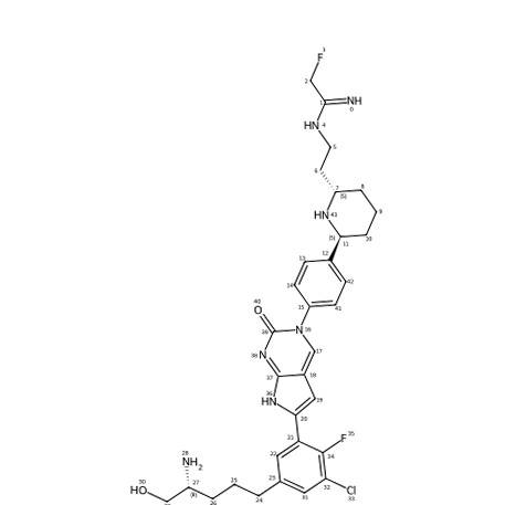 N=C(CF)NCC[C@@H]1CCC[C@@H](c2ccc(-n3cc4cc(-c5cc(CCC[C@@H](N)CO)cc(Cl)c5F)[nH]c4nc3=O)cc2)N1